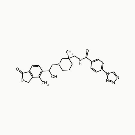 Cc1c(C(O)CN2CCCC(C)(CNC(=O)c3ccc(-n4cnnn4)nc3)C2)ccc2c1COC2=O